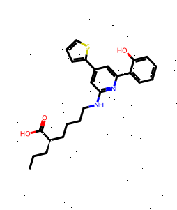 CCC[C@H](CCCCNc1cc(-c2cccs2)cc(-c2ccccc2O)n1)C(=O)O